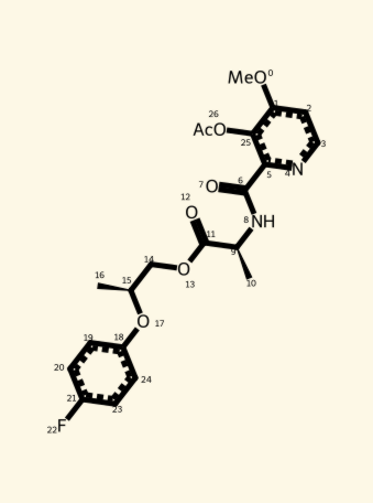 COc1ccnc(C(=O)N[C@@H](C)C(=O)OC[C@H](C)Oc2ccc(F)cc2)c1OC(C)=O